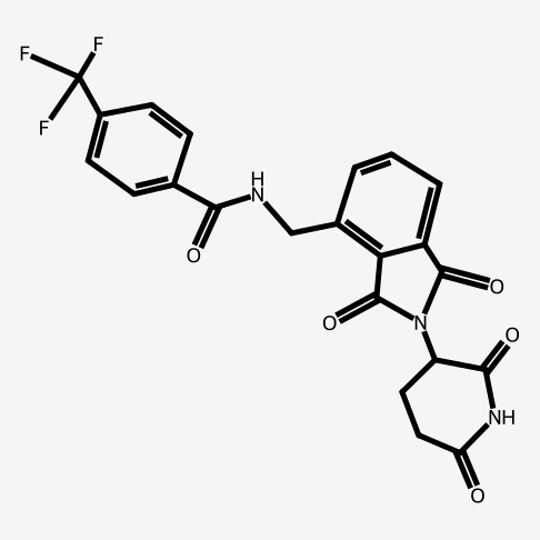 O=C1CCC(N2C(=O)c3cccc(CNC(=O)c4ccc(C(F)(F)F)cc4)c3C2=O)C(=O)N1